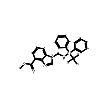 COC(=O)c1cccc2c1ncn2CO[Si](c1ccccc1)(c1ccccc1)C(C)(C)C